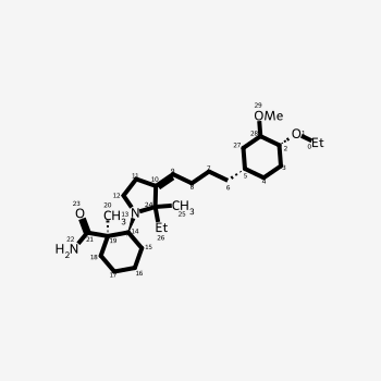 CCO[C@@H]1CC[C@H](CCC/C=C2/CCN([C@H]3CCCC[C@@]3(C)C(N)=O)C2(C)CC)CC1OC